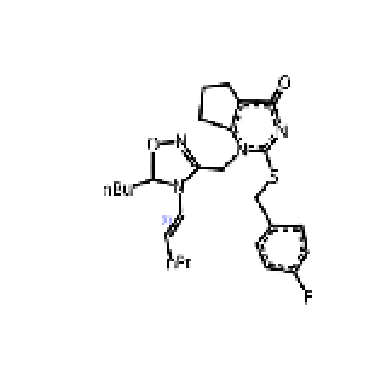 CCC/C=C/N1C(Cn2c(SCc3ccc(F)cc3)nc(=O)c3c2CCC3)=NOC1CCCC